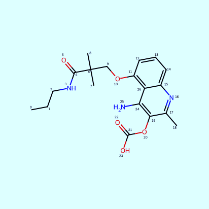 CCCNC(=O)C(C)(C)COc1cccc2nc(C)c(OC(=O)O)c(N)c12